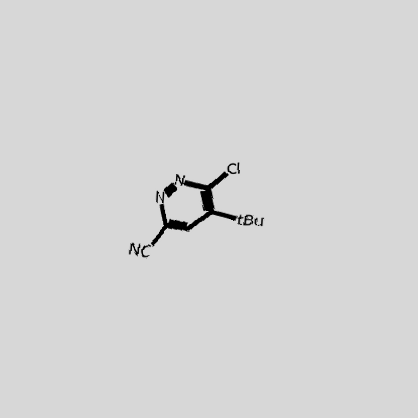 CC(C)(C)c1cc(C#N)nnc1Cl